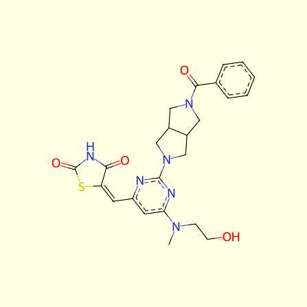 CN(CCO)c1cc(C=C2SC(=O)NC2=O)nc(N2CC3CN(C(=O)c4ccccc4)CC3C2)n1